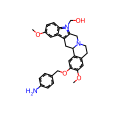 COc1ccc2c(c1)c1c(n2CO)CN2CCc3cc(OC)c(OCc4ccc(N)cc4)cc3C2C1